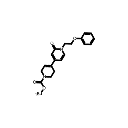 CC(C)(C)OC(=O)N1CC=C(c2ccn(CCOc3ccccc3)c(=O)c2)CC1